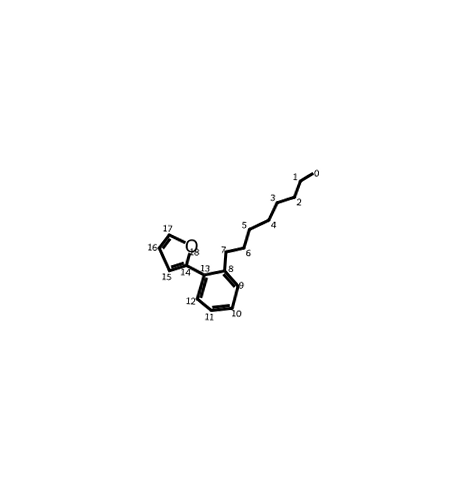 CCCCCCCCc1ccccc1-c1ccco1